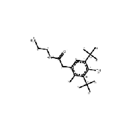 Cc1c(CC(=O)NCCN)cc(C(C)(C)C)c(O)c1C(C)(C)C